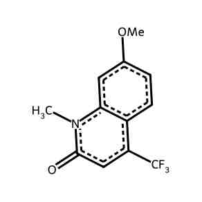 COc1ccc2c(C(F)(F)F)cc(=O)n(C)c2c1